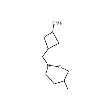 COC1CC(CN2CCC(C)CC2)C1